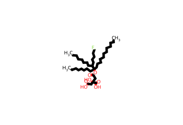 CCCCCCCCCCCCC(CCCCCCCC)(OC(=O)CC(O)(CC(=O)O)C(=O)O)C(CCCCCF)CCCCCCCC